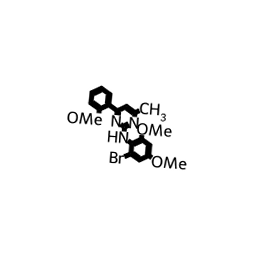 COc1cc(Br)c(Nc2nc(C)cc(-c3ccccc3OC)n2)c(OC)c1